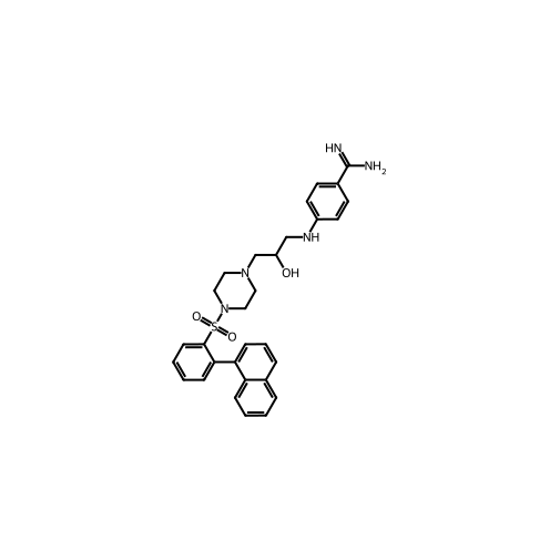 N=C(N)c1ccc(NCC(O)CN2CCN(S(=O)(=O)c3ccccc3-c3cccc4ccccc34)CC2)cc1